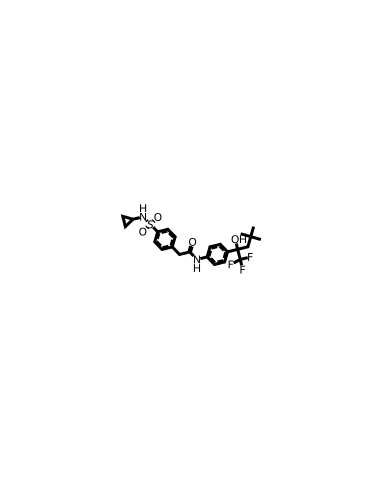 CC(C)(C)CC(O)(c1ccc(NC(=O)Cc2ccc(S(=O)(=O)NC3CC3)cc2)cc1)C(F)(F)F